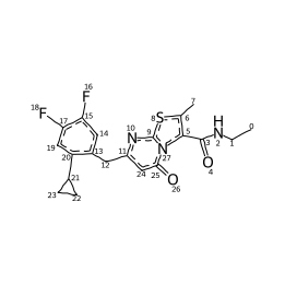 CCNC(=O)c1c(C)sc2nc(Cc3cc(F)c(F)cc3C3CC3)cc(=O)n12